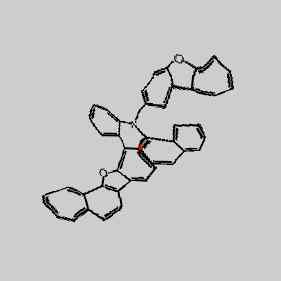 c1ccc(N(c2ccc3oc4ccccc4c3c2)c2cccc3ccccc23)c(-c2cccc3c2oc2c4ccccc4ccc32)c1